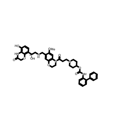 COc1cc2c(cc1CNC[C@H](O)c1ccc(O)c3c1OCC(=O)N3)OCCN2C(=O)CCN1CCC(OC(=O)Nc2ccccc2-c2ccccc2)CC1